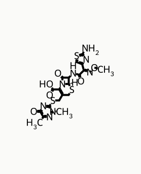 CO/N=C(/C(=O)NC1C(=O)N2C(C(=O)O)=C(CSc3nc(=O)c(C)nn3C)CS[C@H]12)c1csc(N)n1